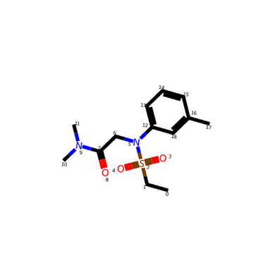 CCS(=O)(=O)N(CC(=O)N(C)C)c1cccc(C)c1